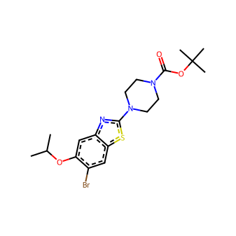 CC(C)Oc1cc2nc(N3CCN(C(=O)OC(C)(C)C)CC3)sc2cc1Br